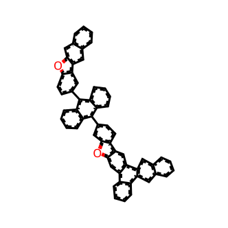 c1ccc2cc3c(cc2c1)oc1ccc(-c2c4ccccc4c(-c4ccc5c(c4)oc4cc6c7ccccc7c7cc8ccccc8cc7c6cc45)c4ccccc24)cc13